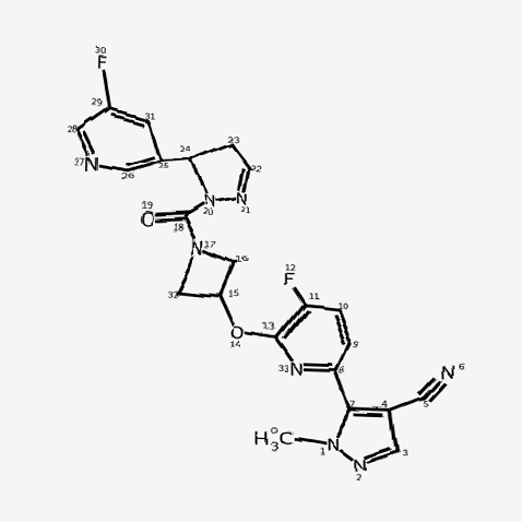 Cn1ncc(C#N)c1-c1ccc(F)c(OC2CN(C(=O)N3N=CCC3c3cncc(F)c3)C2)n1